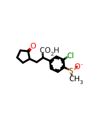 C[S+]([O-])c1ccc(C(CC2CCCC2=O)C(=O)O)cc1Cl